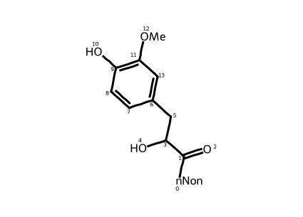 CCCCCCCCCC(=O)C(O)Cc1ccc(O)c(OC)c1